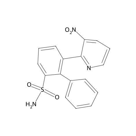 NS(=O)(=O)c1cccc(-c2ncccc2[N+](=O)[O-])c1-c1ccccc1